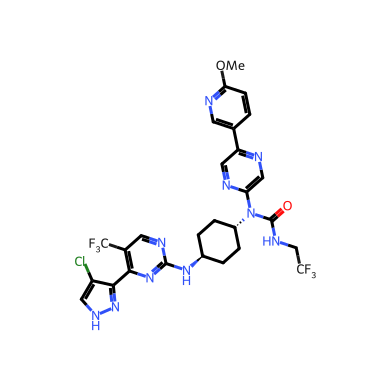 COc1ccc(-c2cnc(N(C(=O)NCC(F)(F)F)[C@H]3CC[C@H](Nc4ncc(C(F)(F)F)c(-c5n[nH]cc5Cl)n4)CC3)cn2)cn1